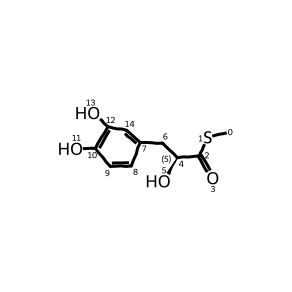 CSC(=O)[C@@H](O)Cc1ccc(O)c(O)c1